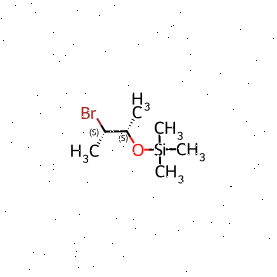 C[C@H](Br)[C@H](C)O[Si](C)(C)C